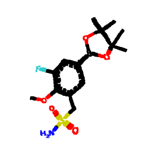 COc1c(F)cc(B2OC(C)(C)C(C)(C)O2)cc1CS(N)(=O)=O